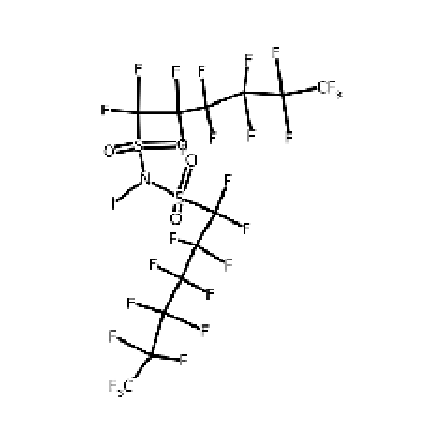 O=S(=O)(N(I)S(=O)(=O)C(F)(F)C(F)(F)C(F)(F)C(F)(F)C(F)(F)C(F)(F)F)C(F)(F)C(F)(F)C(F)(F)C(F)(F)C(F)(F)C(F)(F)F